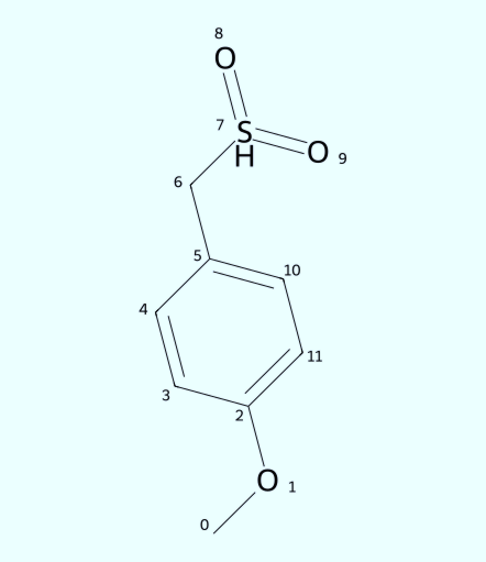 COc1ccc(C[SH](=O)=O)cc1